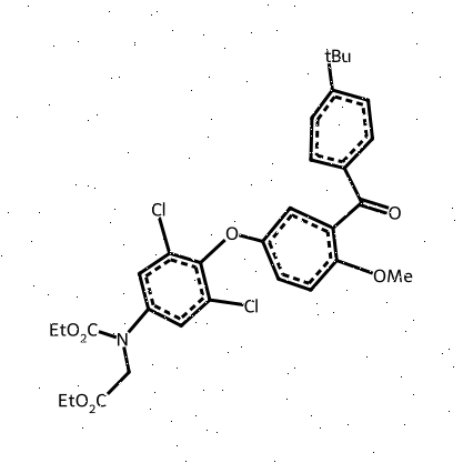 CCOC(=O)CN(C(=O)OCC)c1cc(Cl)c(Oc2ccc(OC)c(C(=O)c3ccc(C(C)(C)C)cc3)c2)c(Cl)c1